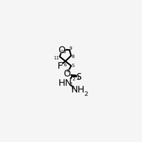 NNC(=S)OCC1(F)CCOC1